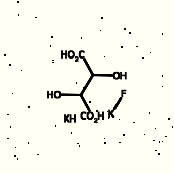 O=C(O)C(O)C(O)C(=O)O.[F][K].[KH]